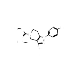 CC(C)(C)OC(=O)N1CCc2c(c(O)nn2-c2ccc(Br)cc2)[C@@H]1CN